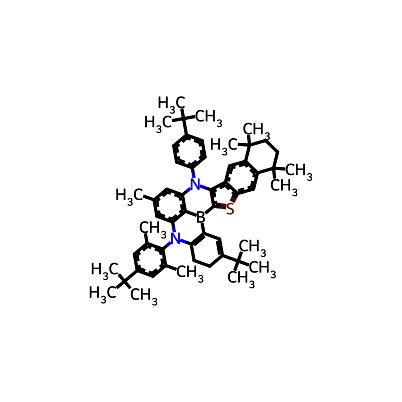 Cc1cc2c3c(c1)N(c1ccc(C(C)(C)C)cc1)c1c(sc4cc5c(cc14)C(C)(C)CCC5(C)C)B3C1=C(CCC(C(C)(C)C)=C1)N2c1c(C)cc(C(C)(C)C)cc1C